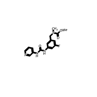 COC(=O)N(C)Cc1cc(F)cc(NC(=O)Nc2cccnc2)c1